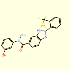 NN(C(=O)c1ccc2nc(-c3ccccc3C(F)(F)P)[nH]c2c1)c1cccc(O)c1